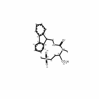 CN(C(=O)OCC1c2ccccc2-c2ccccc21)C(CCS(C)(=O)=O)C(=O)O